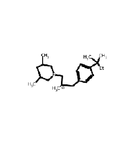 CCC(C)(C)c1ccc(C[C@H](C)CN2CC(C)CC(C)C2)cc1